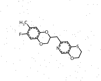 Cc1cc2c(cc1F)OCC(Cc1cc3c(cn1)OCCS3)O2